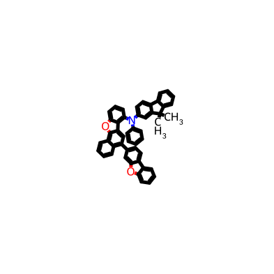 CC1(C)c2ccccc2-c2ccc(N(c3ccccc3)c3cccc4oc5c6ccccc6c(-c6ccc7c(c6)oc6ccccc67)cc5c34)cc21